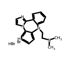 Br.Br.CN(C)CCN1c2ccccc2-c2nccn2-c2ccccc21